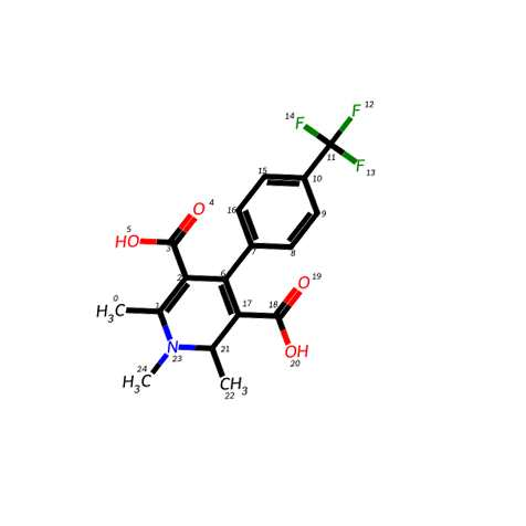 CC1=C(C(=O)O)C(c2ccc(C(F)(F)F)cc2)=C(C(=O)O)C(C)N1C